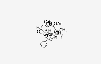 CC(=O)OC1C(=O)C2(C)C(O)C[C@H]3OC[C@]3(OC(C)=O)[C@@H]2[C@@H](OC(=O)c2ccccc2)C2(O)CCC(C)=C1C2(C)C